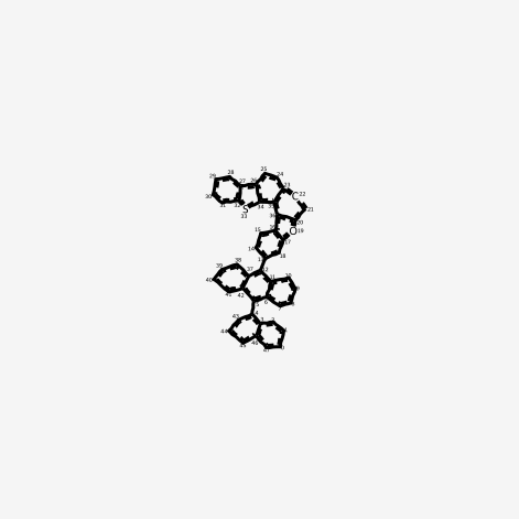 c1ccc2c(-c3c4ccccc4c(-c4ccc5c(c4)oc4ccc6ccc7c8ccccc8sc7c6c45)c4ccccc34)cccc2c1